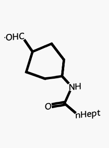 CCCCCCCC(=O)NC1CCC([C]=O)CC1